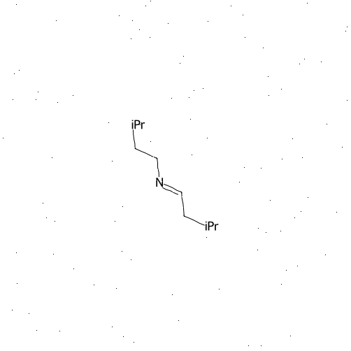 CC(C)CC=NCCC(C)C